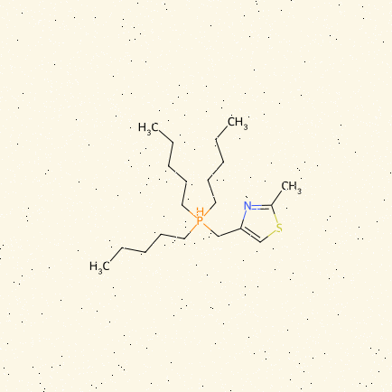 CCCCC[PH](CCCCC)(CCCCC)Cc1csc(C)n1